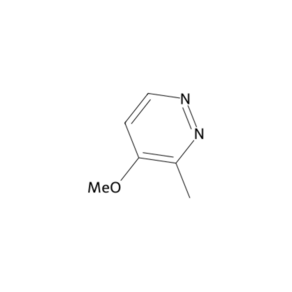 COc1ccnnc1C